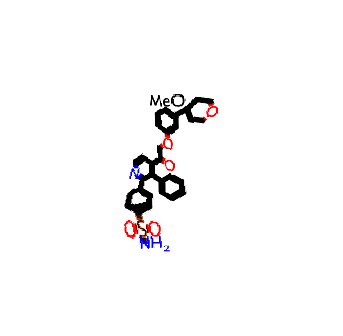 COC1(c2cccc(OCC(=O)c3ccnc(-c4ccc(S(N)(=O)=O)cc4)c3-c3ccccc3)c2)CCOCC1